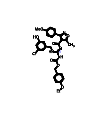 CCOc1ccc(COC(=O)N/C(=N/C(=O)c2c(-c3ccc(OC)cc3)noc2C)NCc2cc(O)cc(Cl)c2)cc1